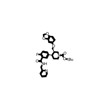 CC(C)(C)OC(=O)N1CC[C@@H](c2ccc(F)c(C(=O)NCc3ccccn3)c2)[C@@H](COc2ccc3c(c2)OCO3)C1